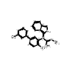 CN=C(N)N(c1cc(-c2cccc(Cl)c2)ccc1OC)c1occ2ccccc12